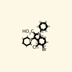 O=C(O)c1c(N2CCCCC2)c2c(Cl)c(Br)ccc2n1-c1ccccc1